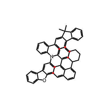 CC1(C)c2ccccc2-c2ccc(-c3ccccc3N(c3ccc4oc5ccccc5c4c3)c3ccccc3C3=c4c(C5CCCCC5)cccc4=CCC3)cc21